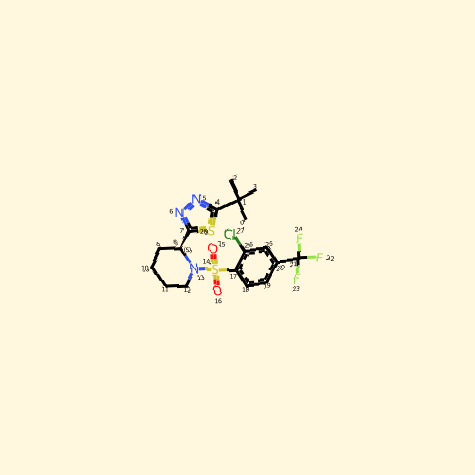 CC(C)(C)c1nnc([C@@H]2CCCCN2S(=O)(=O)c2ccc(C(F)(F)F)cc2Cl)s1